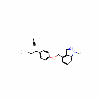 CC#C[C@@H](CC(=O)O)c1ccc(OCc2cccc3c2cnn3C(C)C)cc1